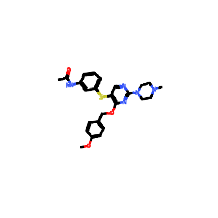 COc1ccc(COc2nc(N3CCN(C)CC3)ncc2Sc2cccc(NC(C)=O)c2)cc1